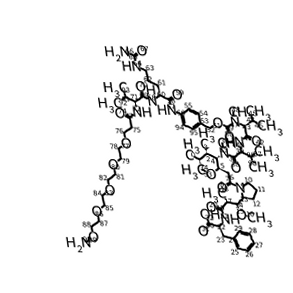 CC[C@H](C)[C@@H]([C@@H](CC(=O)N1CCC[C@H]1[C@H](OC)[C@@H](C)C(=O)N[C@@H](Cc1ccccc1)C(=O)O)OC)N(C)C(=O)[C@@H](NC(=O)[C@H](C(C)C)N(C)C(=O)OCc1ccc(NC(=O)[C@H](CCCNC(N)=O)NC(=O)[C@@H](NC(=O)CCOCCOCCOCCOCCON)C(C)C)cc1)C(C)C